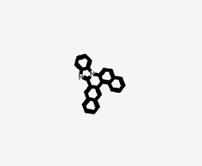 c1ccc2cc3c(cc2c1)c1c2ccccc2ccc1n1c2ccccc2nc31